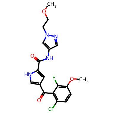 COCCn1cc(NC(=O)c2cc(C(=O)c3c(Cl)ccc(OC)c3F)c[nH]2)cn1